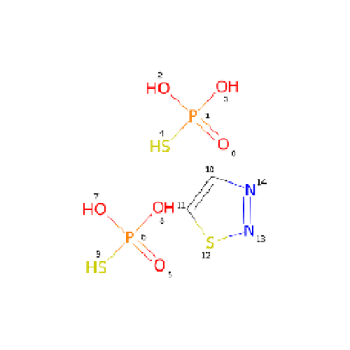 O=P(O)(O)S.O=P(O)(O)S.c1csnn1